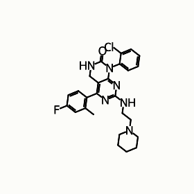 Cc1cc(F)ccc1-c1nc(NCCN2CCCCC2)nc2c1CNC(=O)N2c1ccccc1Cl